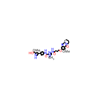 COc1cc2c(cc1OCCCC(=O)Nc1cn(C)c(C(=O)Nc3ccc(-c4c[nH]c(C(O)OC)c4)cc3)n1)N=CC1CCCCCN1C2=O